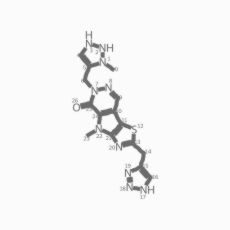 CN1NNC=C1Cn1ncc2c3sc(Cc4c[nH]nn4)nc3n(C)c2c1=O